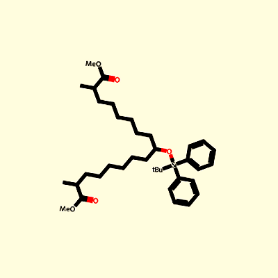 COC(=O)C(C)CCCCCCC(CCCCCCC(C)C(=O)OC)O[Si](c1ccccc1)(c1ccccc1)C(C)(C)C